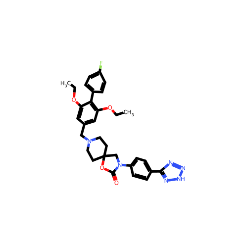 CCOc1cc(CN2CCC3(CC2)CN(c2ccc(-c4nn[nH]n4)cc2)C(=O)O3)cc(OCC)c1-c1ccc(F)cc1